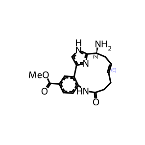 COC(=O)c1ccc2c(c1)-c1c[nH]c(n1)[C@@H](N)C/C=C/CCC(=O)N2